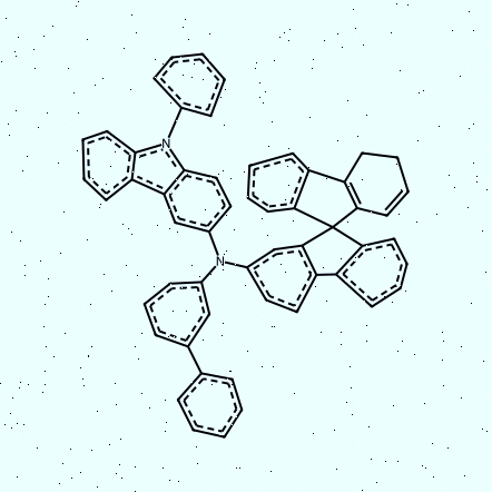 C1=CC2=C(CC1)c1ccccc1C21c2ccccc2-c2ccc(N(c3cccc(-c4ccccc4)c3)c3ccc4c(c3)c3ccccc3n4-c3ccccc3)cc21